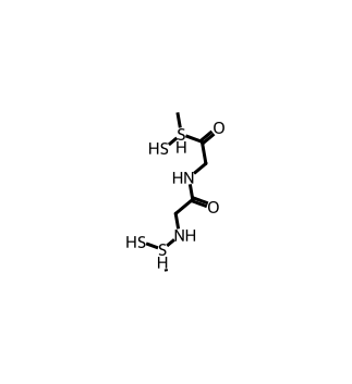 C[SH](S)NCC(=O)NCC(=O)[SH](C)S